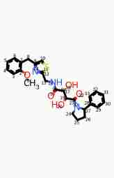 COc1ccccc1Cc1csc(CNC(=O)[C@H](O)C(O)C(=O)N2CCCC2c2ccccc2)n1